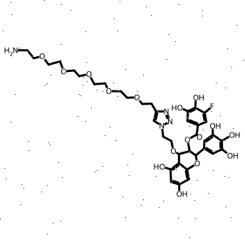 NCCOCCOCCOCCOCCOCCc1cn(CCOC2c3c(O)cc(O)cc3OC(c3cc(O)c(O)c(O)c3)C2OC(=O)c2cc(O)c(O)c(F)c2)nn1